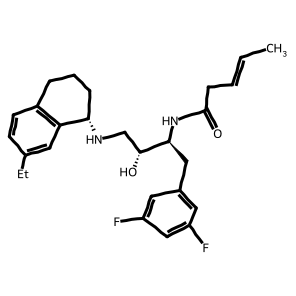 C/C=C/CC(=O)N[C@@H](Cc1cc(F)cc(F)c1)[C@H](O)CN[C@H]1CCCc2ccc(CC)cc21